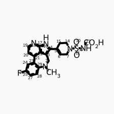 CN1Cc2c(C3=CCN(S(=O)(=O)NC(=O)O)CC3)[nH]c3nccc(c23)-c2cc(F)ccc21